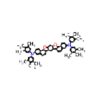 Cc1cc(N(c2cc(C)c(C)c(C)c2)c2ccc3c(ccc4c5cc6c(cc5oc34)oc3c4ccc(N(c5cc(C)c(C)c(C)c5)c5cc(C)c(C)c(C)c5)cc4ccc63)c2)cc(C)c1C